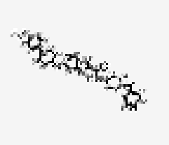 O=C(NC1CCN(Cc2ccncc2)CC1)c1cn2cnc(OC3CCN(c4ccc(C(F)(F)F)cc4)CC3)cc2n1